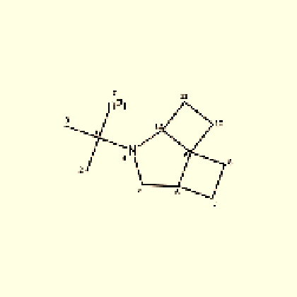 CCCC(C)(C)N1CC2CCC23CCC13